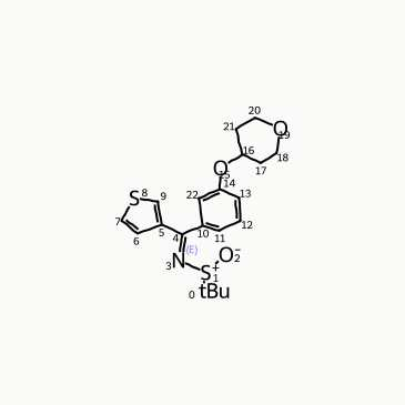 CC(C)(C)[S+]([O-])/N=C(/c1ccsc1)c1cccc(OC2CCOCC2)c1